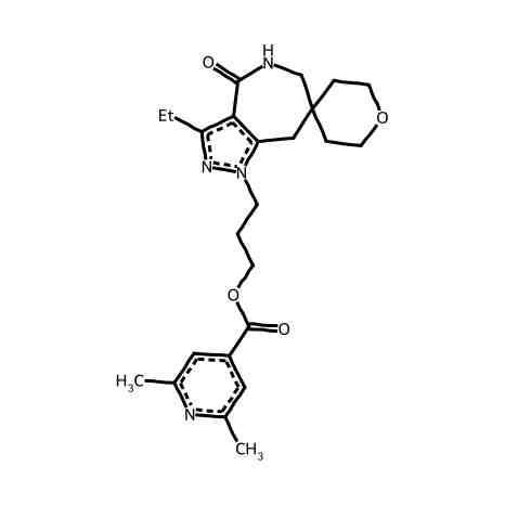 CCc1nn(CCCOC(=O)c2cc(C)nc(C)c2)c2c1C(=O)NCC1(CCOCC1)C2